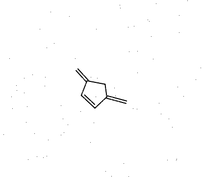 C=C1C=CC(=C)C1